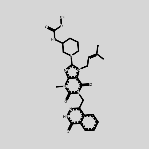 CC(C)=CCn1c(N2CCCC(NC(=O)OC(C)(C)C)C2)nc2c1c(=O)n(Cc1n[nH]c(=O)c3ccccc13)c(=O)n2C